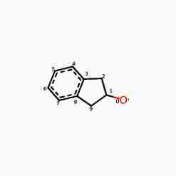 [O]C1Cc2ccccc2C1